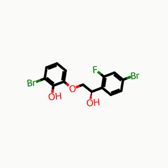 Oc1c(Br)cccc1OC[C@H](O)c1ccc(Br)cc1F